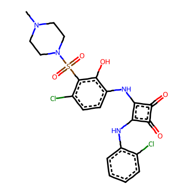 CN1CCN(S(=O)(=O)c2c(Cl)ccc(Nc3c(Nc4ccccc4Cl)c(=O)c3=O)c2O)CC1